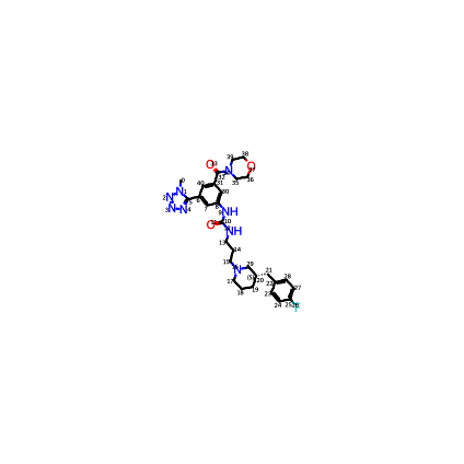 Cn1nnnc1-c1cc(NC(=O)NCCCN2CCC[C@@H](Cc3ccc(F)cc3)C2)cc(C(=O)N2CCOCC2)c1